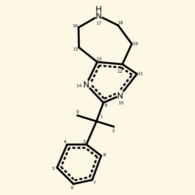 CC(C)(c1ccccc1)c1ncc2c(n1)CCNCC2